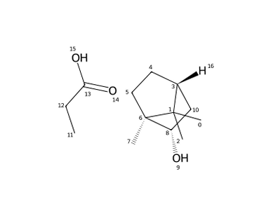 CC1(C)[C@@H]2CC[C@]1(C)[C@@H](O)C2.CCC(=O)O